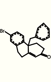 O=C1C=C2CCc3cc(Br)ccc3C2(Cc2ccccc2)CC1